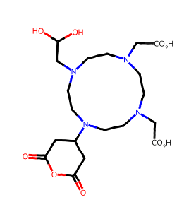 O=C(O)CN1CCN(CC(=O)O)CCN(C2CC(=O)OC(=O)C2)CCN(CC(O)O)CC1